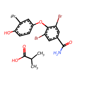 CC(C)C(=O)O.CC(C)c1cc(Oc2c(Br)cc(C(N)=O)cc2Br)ccc1O